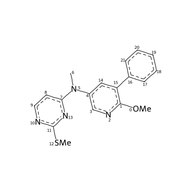 COc1ncc(N(C)c2ccnc(SC)n2)cc1-c1ccccc1